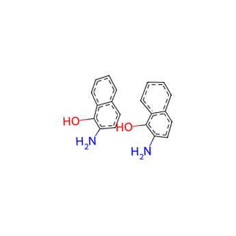 Nc1ccc2ccccc2c1O.Nc1ccc2ccccc2c1O